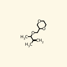 C=C(C)C(C)OCC1COCCO1